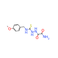 COc1ccc(CNC(=S)NNC(=O)C(N)=O)cc1